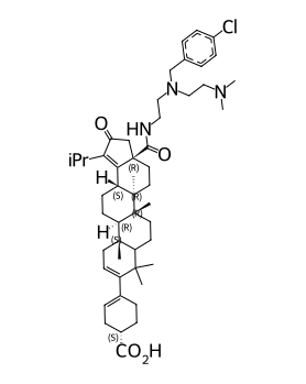 CC(C)C1=C2[C@H]3CC[C@@H]4[C@@]5(C)CC=C(C6=CC[C@@H](C(=O)O)CC6)C(C)(C)C5CC[C@@]4(C)[C@]3(C)CC[C@@]2(C(=O)NCCN(CCN(C)C)Cc2ccc(Cl)cc2)CC1=O